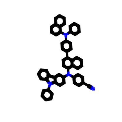 N#Cc1ccc(N(c2ccc3c(c2)c2ccccc2n3-c2ccccc2)c2ccc(-c3ccc(N(c4ccccc4)c4cccc5ccccc45)cc3)c3ccccc23)cc1